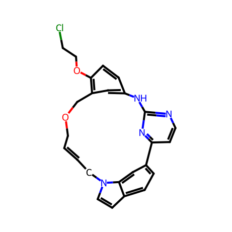 ClCCOc1ccc2cc1COC/C=C/Cn1ccc3ccc(cc31)-c1ccnc(n1)N2